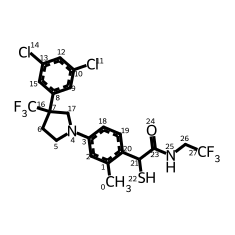 Cc1cc(N2CCC(c3cc(Cl)cc(Cl)c3)(C(F)(F)F)C2)ccc1C(S)C(=O)NCC(F)(F)F